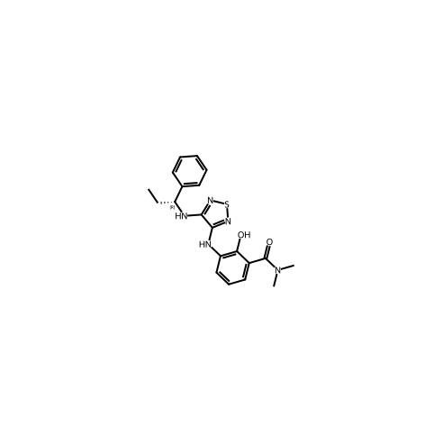 CC[C@@H](Nc1nsnc1Nc1cccc(C(=O)N(C)C)c1O)c1ccccc1